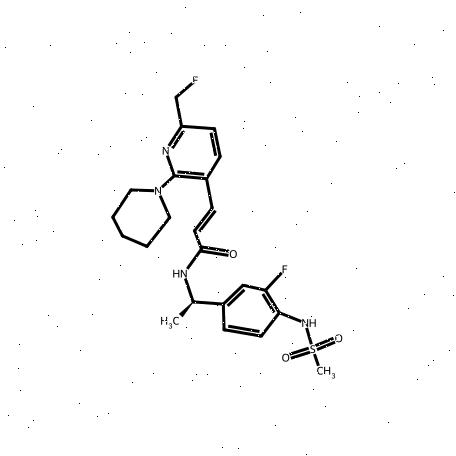 C[C@@H](NC(=O)/C=C/c1ccc(CF)nc1N1CCCCC1)c1ccc(NS(C)(=O)=O)c(F)c1